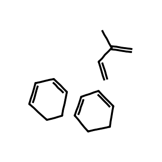 C1=CCCC=C1.C1=CCCC=C1.C=CC(=C)C